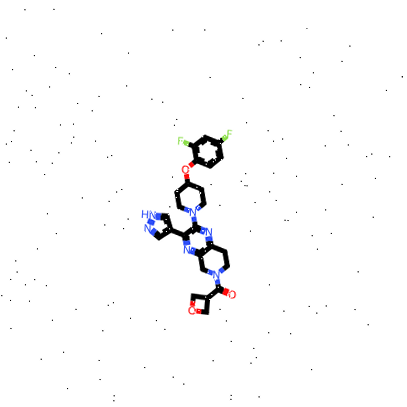 O=C(C1COC1)N1CCc2nc(N3CCC(Oc4ccc(F)cc4F)CC3)c(-c3cn[nH]c3)nc2C1